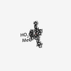 COc1ccc(N2CC(C)n3c(c(CCCOc4cc(C)c(Cl)c(C)c4)c4ccc(Cl)c(-c5c(C)nc(COCc6ccccc6)nc5C)c43)C2=O)c2c1cc(C(=O)O)n2Cc1ccccn1